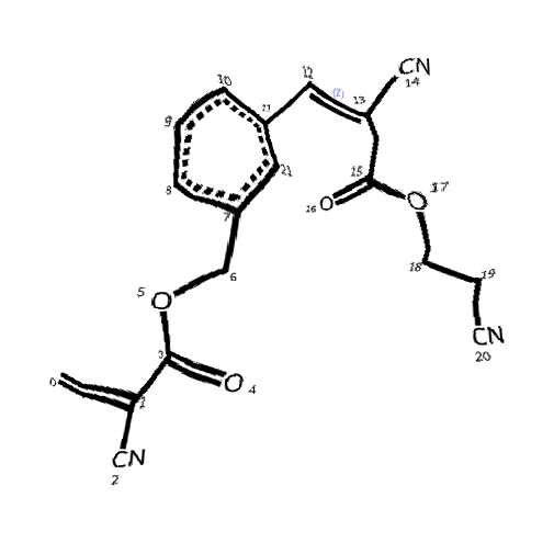 C=C(C#N)C(=O)OCc1cccc(/C=C(/C#N)C(=O)OCCC#N)c1